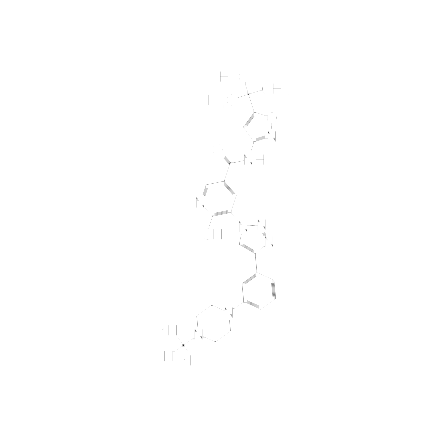 [2H]C([2H])([2H])N1CCN(c2cccc(-c3cn(-c4cc(C(=O)Nc5cc(C(C)(C)C)on5)cnc4C)nn3)c2)CC1